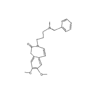 COc1cc2c(cc1OC)CC(=O)N(CCCN(C)Cc1ccccc1)C=C2